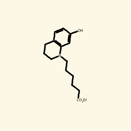 CCOC(=O)CCCCCN1CCCc2ccc(O)cc21